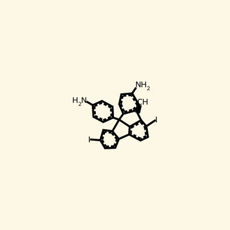 C#Cc1c(I)ccc2c1C(c1ccc(N)cc1)(c1ccc(N)cc1)c1cc(I)ccc1-2